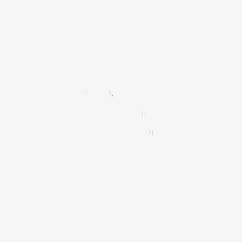 B=S(C)(=N)c1ccc(Cl)nc1